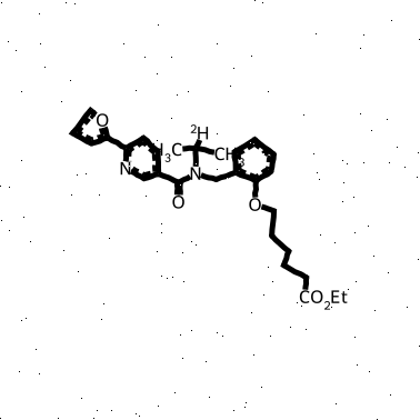 [2H]C(C)(C)N(Cc1ccccc1OCCCCCC(=O)OCC)C(=O)c1ccc(-c2ccco2)nc1